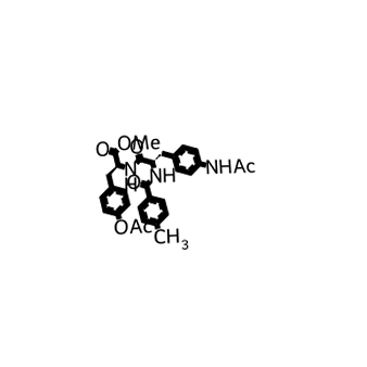 COC(=O)[C@H](Cc1ccc(OC(C)=O)cc1)NC(=O)[C@H](Cc1ccc(NC(C)=O)cc1)NC(=O)c1ccc(C)cc1